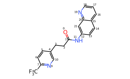 O=C(CCc1ccc(C(F)(F)F)nc1)Nc1ccc2cccnc2c1